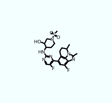 Cc1nc2c(F)cc(-c3nc(NC4CCN(S(C)(=O)=O)CC4O)ncc3F)c3c2n1C(C)CC3